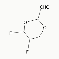 O=CC1OCC(F)C(F)O1